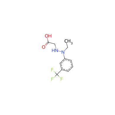 CCN(NCC(=O)O)c1cccc(C(F)(F)F)c1